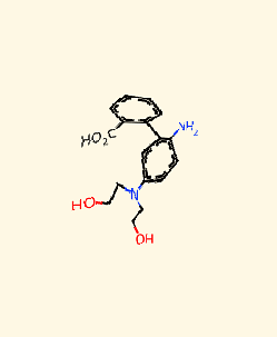 Nc1ccc(N(CCO)CCO)cc1-c1ccccc1C(=O)O